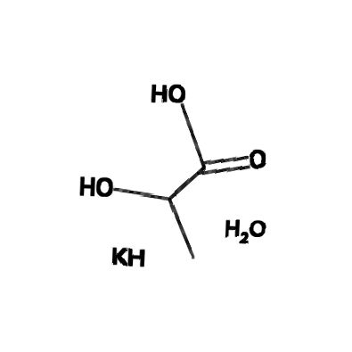 CC(O)C(=O)O.O.[KH]